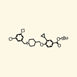 CC(C)(C)OC(=O)c1ccc(OCC2CCN(Cc3cc(Cl)cc(Cl)c3)CC2)c(C2CC2)c1